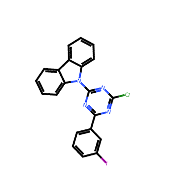 Clc1nc(-c2cccc(I)c2)nc(-n2c3ccccc3c3ccccc32)n1